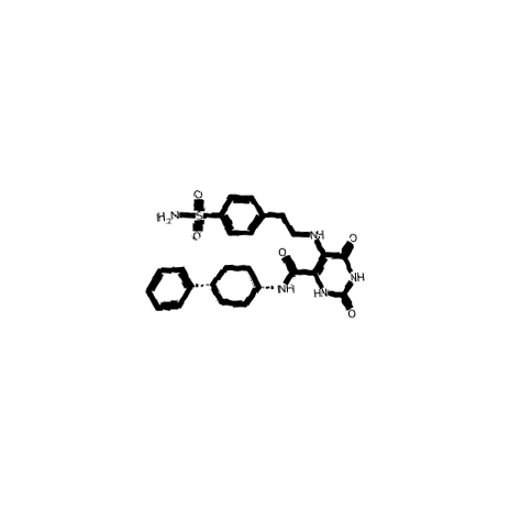 NS(=O)(=O)c1ccc(CCNc2c(C(=O)N[C@H]3CC[C@@H](c4ccccc4)CC3)[nH]c(=O)[nH]c2=O)cc1